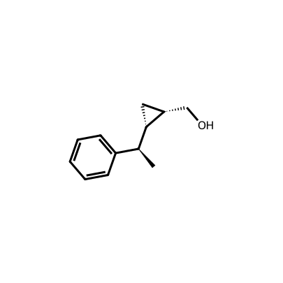 C[C@@H](c1ccccc1)[C@@H]1C[C@@H]1CO